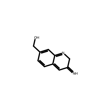 N=C1C=c2ccc(CO)cc2=NC1